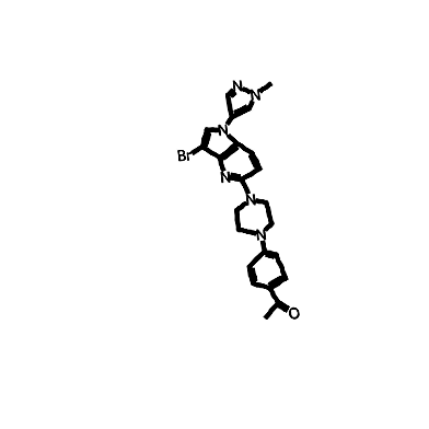 CC(=O)c1ccc(N2CCN(c3ccc4c(n3)c(Br)cn4-c3cnn(C)c3)CC2)cc1